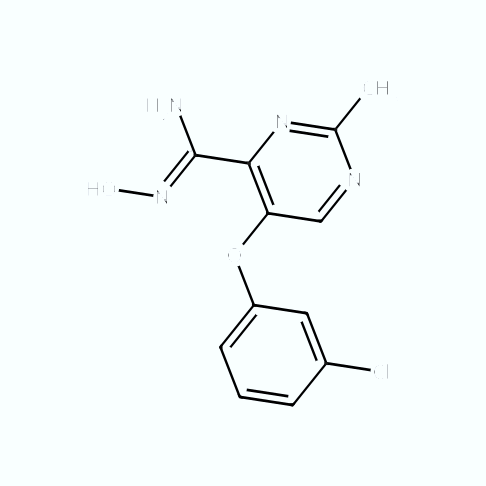 Cc1ncc(Oc2cccc(Cl)c2)c(C(N)=NO)n1